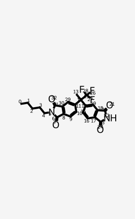 CCCCCN1C(=O)c2ccc(C(C)(c3ccc4c(c3)C(=O)NC4=O)C(F)(F)F)cc2C1=O